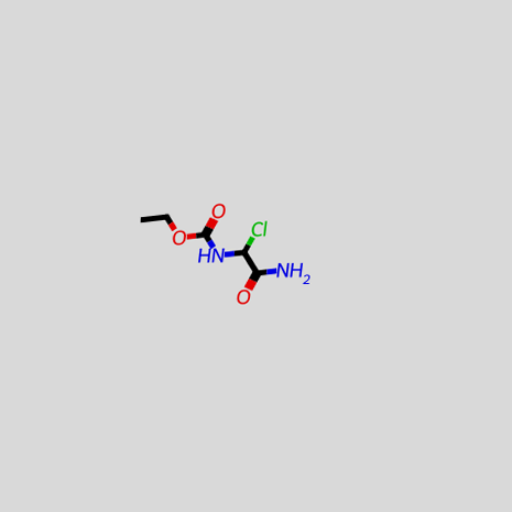 CCOC(=O)NC(Cl)C(N)=O